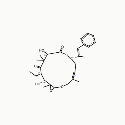 CC[C@H]1C(=O)C(C)(C)[C@@H](O)CC(=O)O[C@H](C(C)=Cc2ccccn2)C/C=C(/C)CCC2OC2(C)[C@@H]1O